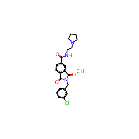 Cl.O=C(NCCN1CCCC1)c1ccc2c(c1)C(=O)N(Cc1cccc(Cl)c1)C2=O